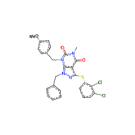 COc1ccc(Cn2c(=O)n(C)c(=O)c3c(Sc4cccc(Cl)c4Cl)nn(Cc4ccccc4)c32)cc1